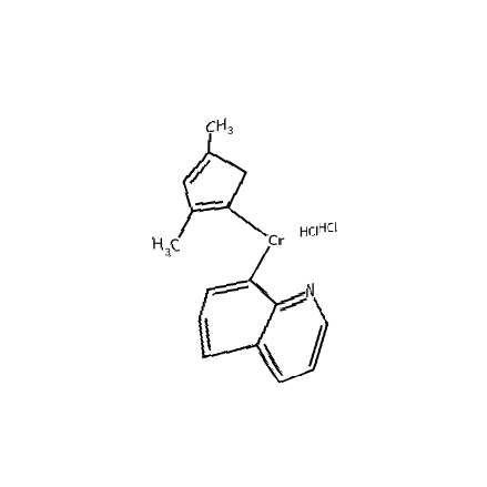 CC1=CC(C)=[C]([Cr][c]2cccc3cccnc23)C1.Cl.Cl